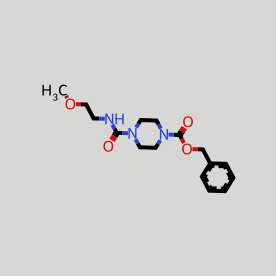 COCCNC(=O)N1CCN(C(=O)OCc2ccccc2)CC1